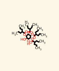 CCCC(CCC)C(=O)O[C@@H]1[C@@H](OC(=O)C(CCC)CCC)[C@H](OC(=O)C(CCC)CCC)[C@@H](O)[C@@H](O)[C@H]1OC(=O)C(CCC)CCC